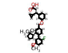 COc1ccc(F)c(-c2ccc(COc3cccc([C@H](CC(=O)O)C4CC4)c3)cc2[C@H]2CCCC2(C)C)c1